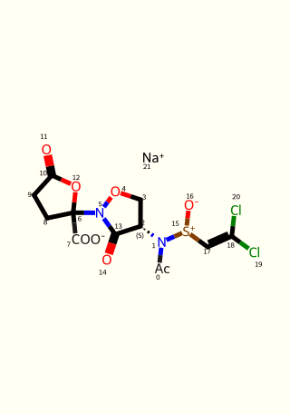 CC(=O)N([C@H]1CON(C2(C(=O)[O-])CCC(=O)O2)C1=O)[S+]([O-])C=C(Cl)Cl.[Na+]